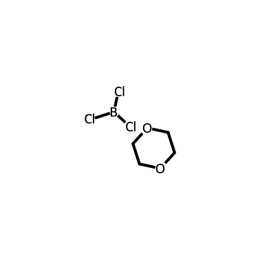 C1COCCO1.ClB(Cl)Cl